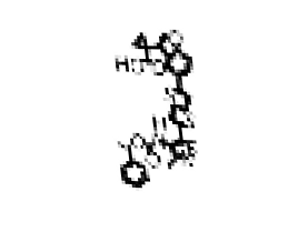 Cc1nsc(-c2cc3sc(-c4ccc5occ(C6(C(=O)O)CC6)c5c4)cc3s2)c1NC(=O)O[C@H](C)c1ccccc1